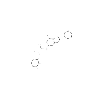 C[C@H](Oc1cccc(Cl)c1Cl)C(=O)Nc1cc(Cl)c2oc(-c3ccccc3)nc2c1